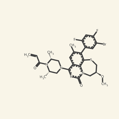 C=CC(=O)N1[C@H](C)CN(c2nc(=O)n3c4c(c(-c5cc(Br)c(F)cc5F)c(C)cc24)SC[C@@H](OC)C3)C[C@@H]1C